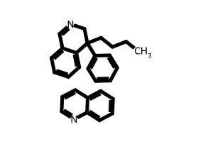 CCCCC1(c2ccccc2)CN=Cc2ccccc21.c1ccc2ncccc2c1